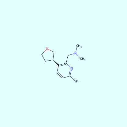 CC(C)c1ccc([C@H]2CCOC2)c(CN(C)C)n1